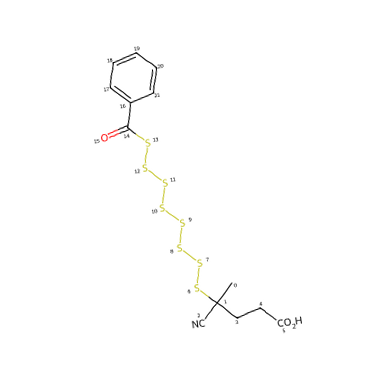 CC(C#N)(CCC(=O)O)SSSSSSSSC(=O)c1ccccc1